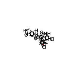 CN(C)C(=O)c1ccc(NC(=O)[C@@H]2CC3(C(=O)Nc4cc(Cl)cc(-c5cccc(Cl)c5F)c43)[C@@H](CC(C)(C)C)N2)cc1